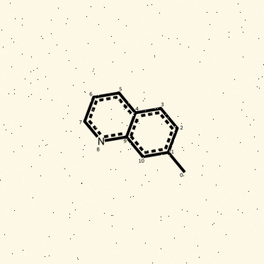 Cc1ccc2cccnc2c1